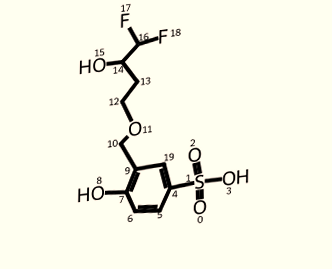 O=S(=O)(O)c1ccc(O)c(COCCC(O)C(F)F)c1